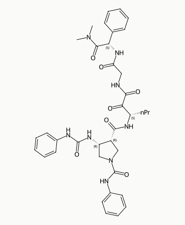 CCC[C@H](NC(=O)[C@@H]1CN(C(=O)Nc2ccccc2)C[C@@H]1NC(=O)Nc1ccccc1)C(=O)C(=O)NCC(=O)N[C@H](C(=O)N(C)C)c1ccccc1